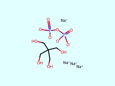 O=P([O-])([O-])OP(=O)([O-])[O-].OCC(CO)(CO)CO.[Na+].[Na+].[Na+].[Na+]